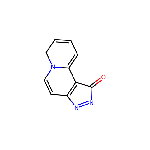 O=C1N=NC2=C1C1=CC=CCN1C=C2